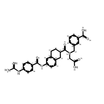 N=C(N)Nc1ccc(C(=O)Oc2ccc3c(c2)CCC(C(=O)N(CC(=O)O)Cc2cccc(C(=O)O)c2)C3)cc1